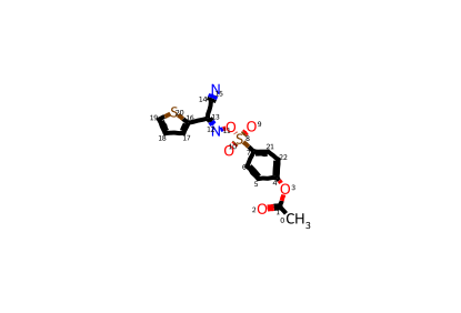 CC(=O)Oc1ccc(S(=O)(=O)O/N=C(\C#N)c2cccs2)cc1